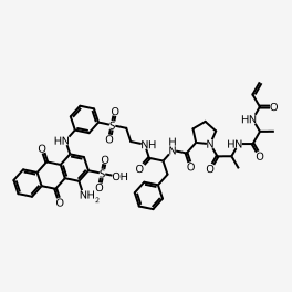 C=CC(=O)NC(C)C(=O)NC(C)C(=O)N1CCCC1C(=O)NC(Cc1ccccc1)C(=O)NCCS(=O)(=O)c1cccc(Nc2cc(S(=O)(=O)O)c(N)c3c2C(=O)c2ccccc2C3=O)c1